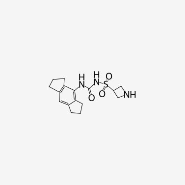 O=C(Nc1c2c(cc3c1CCC3)CCC2)NS(=O)(=O)C1CNC1